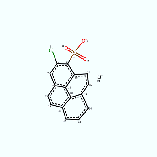 O=S(=O)([O-])c1c(Cl)cc2ccc3cccc4ccc1c2c34.[Li+]